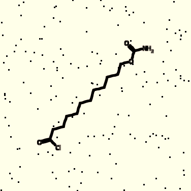 NC(=O)OCCCCCCCCCCCC(=O)Cl